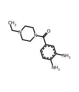 CCN1CCN(C(=O)c2ccc(N)c(N)c2)CC1